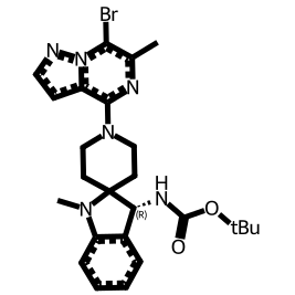 Cc1nc(N2CCC3(CC2)[C@H](NC(=O)OC(C)(C)C)c2ccccc2N3C)c2ccnn2c1Br